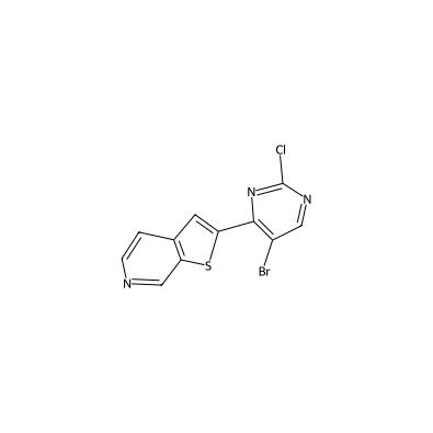 Clc1ncc(Br)c(-c2cc3ccncc3s2)n1